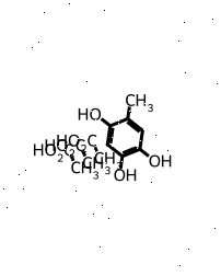 CC(=O)O.CC(=O)O.CC(=O)O.Cc1cc(O)c(O)cc1O